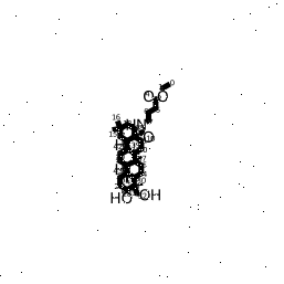 CCOC(=O)CCCNC(=O)[C@]12CCC(C)(C)C[C@@H]1C1=CC[C@@H]3[C@@]4(C)CC[C@H](O)[C@@](C)(CO)C4CC[C@@]3(C)[C@]1(C)CC2